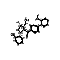 COc1ccccc1-c1ccc(C(=O)N2[C@H](CO)[C@@H](C)C[C@H]2c2ccccc2Cl)cc1